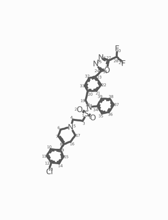 O=S(=O)(CCN1CC=C(c2ccc(Cl)cc2)CC1)N(Cc1ccc(-c2nnc(C(F)F)o2)cc1)c1ccccc1